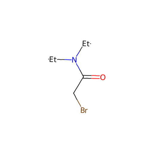 [CH2][CH]N([CH][CH2])C(=O)CBr